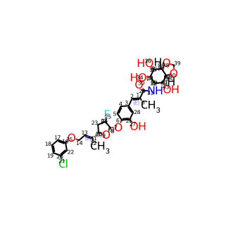 C/C(=C\c1ccc(O[C@@H]2O[C@H](/C(C)=C/COc3cccc(Cl)c3)C[C@H]2F)c(O)c1)C(=O)N[C@@H]1[C@H](O)[C@@H](O)[C@H]2OCO[C@H]2[C@@H]1O